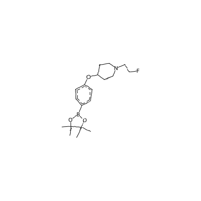 CC1(C)OB(c2ccc(OC3CCN(CCF)CC3)cc2)OC1(C)C